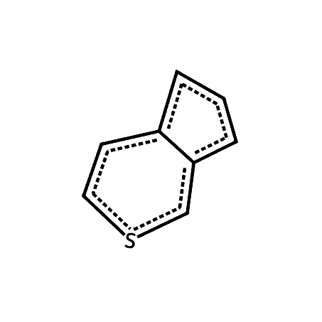 c1cc2ccscc-2c1